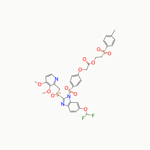 COc1ccnc(C[S+]([O-])c2nc3ccc(OC(F)F)cc3n2S(=O)(=O)c2ccc(OCC(=O)OCCS(=O)(=O)c3ccc(C)cc3)cc2)c1OC